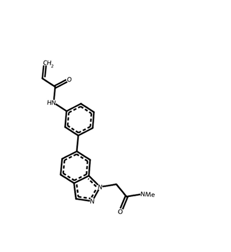 C=CC(=O)Nc1cccc(-c2ccc3cnn(CC(=O)NC)c3c2)c1